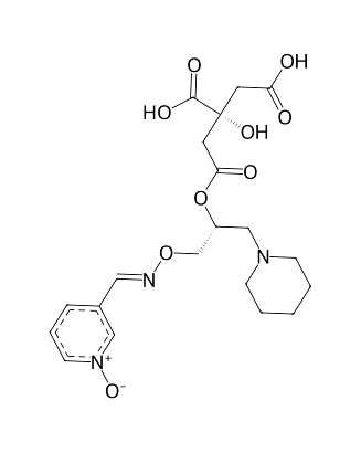 O=C(O)C[C@@](O)(CC(=O)O[C@@H](CON=Cc1ccc[n+]([O-])c1)CN1CCCCC1)C(=O)O